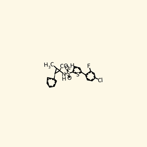 CC1[C@H](c2ccccc2)[C@]1(NS(=O)(=O)c1ccc(-c2ccc(Cl)cc2F)s1)C(=O)O